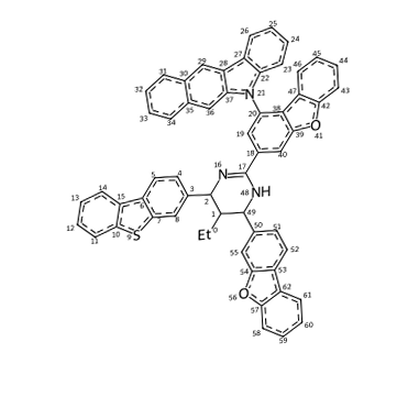 CCC1C(c2ccc3c(c2)sc2ccccc23)N=C(c2cc(-n3c4ccccc4c4cc5ccccc5cc43)c3c(c2)oc2ccccc23)NC1c1ccc2c(c1)oc1ccccc12